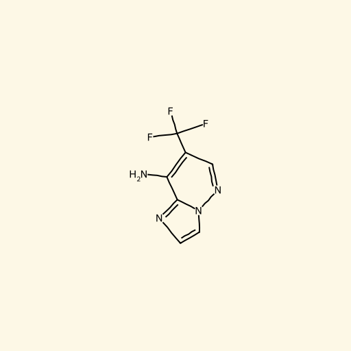 Nc1c(C(F)(F)F)cnn2ccnc12